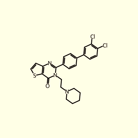 O=c1c2sccc2nc(-c2ccc(-c3ccc(Cl)c(Cl)c3)cc2)n1CCN1CCCCC1